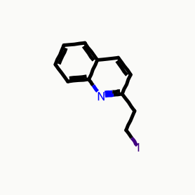 ICCc1ccc2ccccc2n1